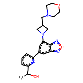 OC(c1cccc(-c2cc(N3CC(CN4CCOCC4)C3)c3nonc3c2)n1)C(F)(F)F